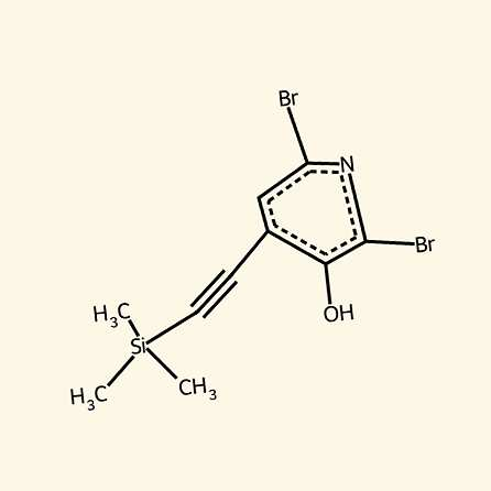 C[Si](C)(C)C#Cc1cc(Br)nc(Br)c1O